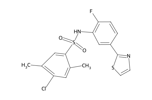 Cc1cc(S(=O)(=O)Nc2cc(-c3nccs3)ccc2F)c(C)cc1Cl